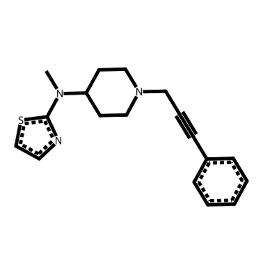 CN(c1nccs1)C1CCN(CC#Cc2ccccc2)CC1